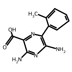 Cc1ccccc1-c1nc(C(=O)O)c(N)nc1N